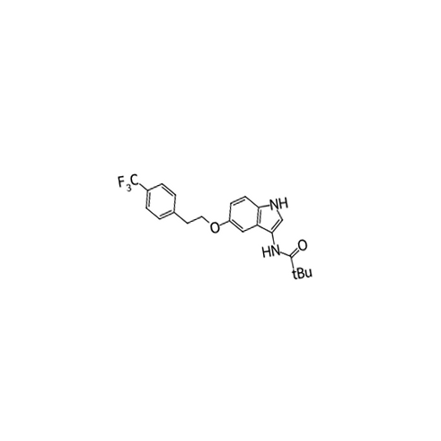 CC(C)(C)C(=O)Nc1c[nH]c2ccc(OCCc3ccc(C(F)(F)F)cc3)cc12